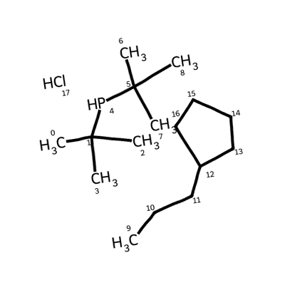 CC(C)(C)PC(C)(C)C.CCCC1CCCC1.Cl